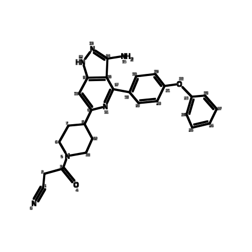 N#CCC(=O)N1CCC(c2cc3[nH]nc(N)c3c(-c3ccc(Oc4ccccc4)cc3)n2)CC1